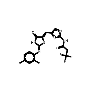 Cc1ccc(N=C2NC(=O)C(=Cc3cnc(NC(=O)CC(F)(F)F)s3)S2)c(C)c1